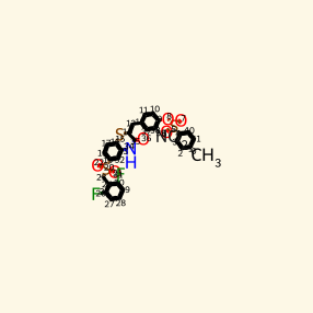 Cc1ccc(S(=O)(=O)Oc2ccc(/C=C3/Sc4ccc(S(=O)(=O)Cc5c(F)cccc5F)cc4NC3=O)cc2[N+](=O)[O-])cc1